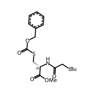 COC(=O)[C@H](CSC(=O)OCc1ccccc1)NC(=O)CC(C)(C)C